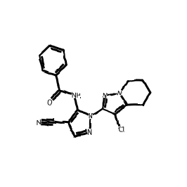 N#Cc1cnn(-c2nn3c(c2Cl)CCCC3)c1NC(=O)c1ccccc1